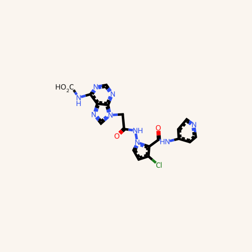 O=C(O)Nc1ncnc2c1ncn2CC(=O)Nn1ccc(Cl)c1C(=O)Nc1ccncc1